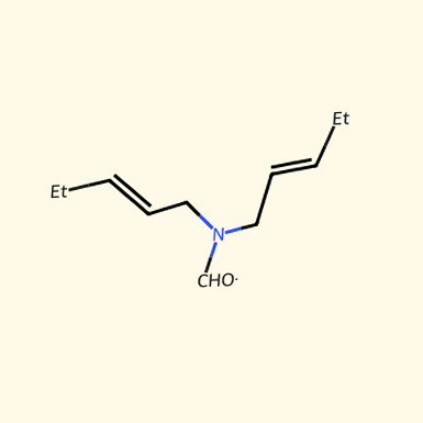 CCC=CCN([C]=O)CC=CCC